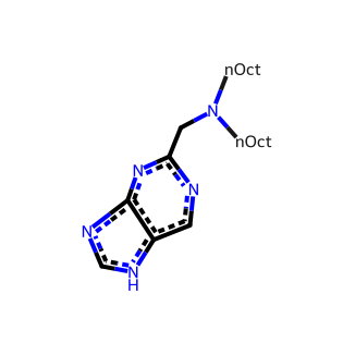 CCCCCCCCN(CCCCCCCC)Cc1ncc2[nH]cnc2n1